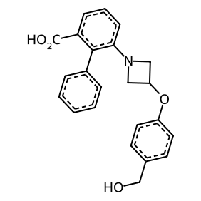 O=C(O)c1cccc(N2CC(Oc3ccc(CO)cc3)C2)c1-c1ccccc1